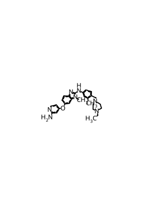 CCN1CCN(Cc2ccc(Nc3nc4ccc(Oc5ccnc(N)c5)cc4n3C)cc2C)CC1